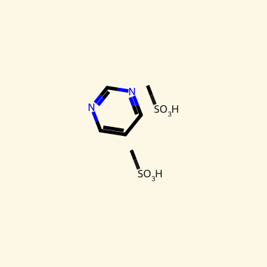 CS(=O)(=O)O.CS(=O)(=O)O.c1cncnc1